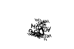 O=P(O)(O)OC1(O)C(O)C(O)C(O)(OP(=O)(O)O)C(O)(OP(=O)(O)O)C1O